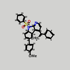 C=C(c1ccccc1)c1ccnc2c1c1cc(-c3ccc(OC)cc3)ccc1n2S(=O)(=O)c1ccccc1